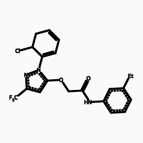 CCc1cccc(NC(=O)COc2cc(C(F)(F)F)nn2C2=CC=CCC2Cl)c1